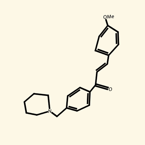 COc1ccc(C=CC(=O)c2ccc(CN3CCCCC3)cc2)cc1